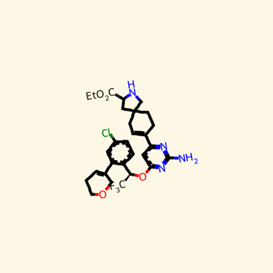 CCOC(=O)C1CC2(CC=C(c3cc(O[C@H](c4ccc(Cl)cc4C4=CCCOC4)C(F)(F)F)nc(N)n3)CC2)CN1